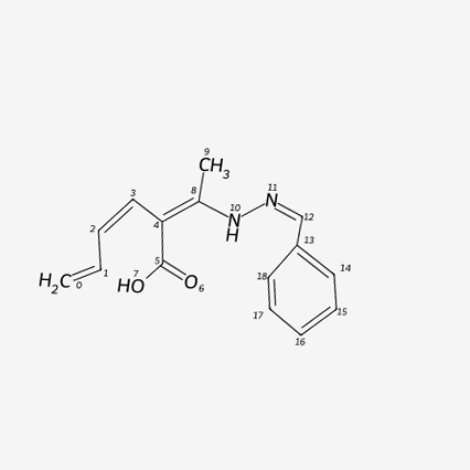 C=C/C=C\C(C(=O)O)=C(/C)N/N=C\c1ccccc1